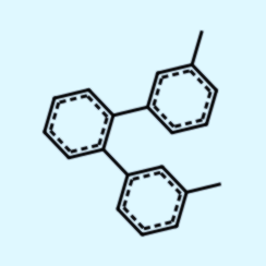 Cc1cccc(-c2ccccc2-c2cccc(C)c2)c1